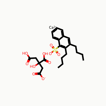 CCCCc1cc2ccccc2c(S(=O)(=O)[O-])c1CCCC.O=C([O-])CC(O)(CC(=O)O)C(=O)O.[Ca+2]